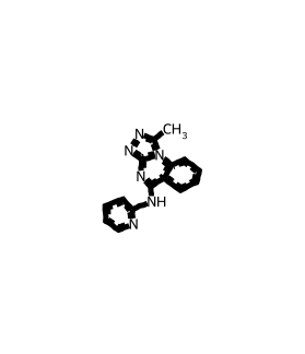 Cc1nnc2nc(Nc3ccccn3)c3ccccc3n12